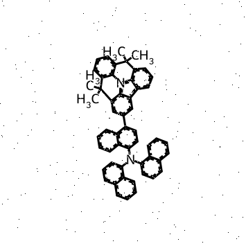 CC1(C)c2cccc3c2-n2c4c1cccc4c1cc(-c4ccc(N(c5cccc6ccccc56)c5cccc6ccccc56)c5ccccc45)cc(c12)C3(C)C